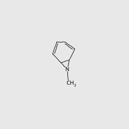 CN1C2C=CC=CC21